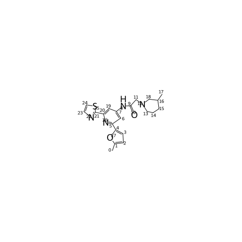 Cc1ccc(-c2cc(NC(=O)CN3CCCC(C)C3)cc(-c3nccs3)n2)o1